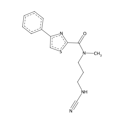 CN(CCCNC#N)C(=O)c1nc(-c2ccccc2)cs1